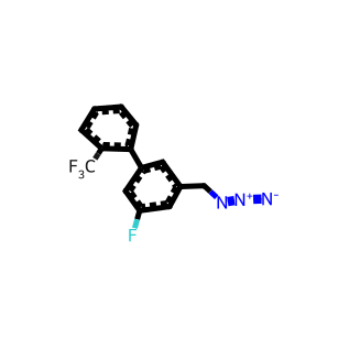 [N-]=[N+]=NCc1cc(F)cc(-c2ccccc2C(F)(F)F)c1